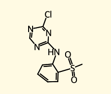 CS(=O)(=O)c1ccccc1Nc1ncnc(Cl)n1